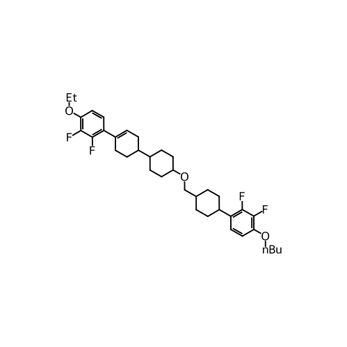 CCCCOc1ccc(C2CCC(COC3CCC(C4CC=C(c5ccc(OCC)c(F)c5F)CC4)CC3)CC2)c(F)c1F